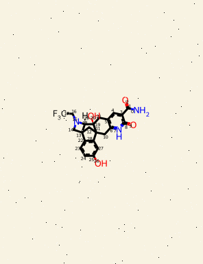 NC(=O)c1cc2c([nH]c1=O)CC13CC4(CN(CC(F)(F)F)[C@H]4[C@]1(O)C2)c1ccc(O)cc13